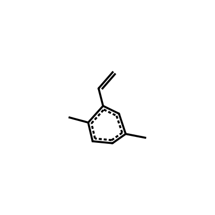 C=Cc1cc(C)ccc1C